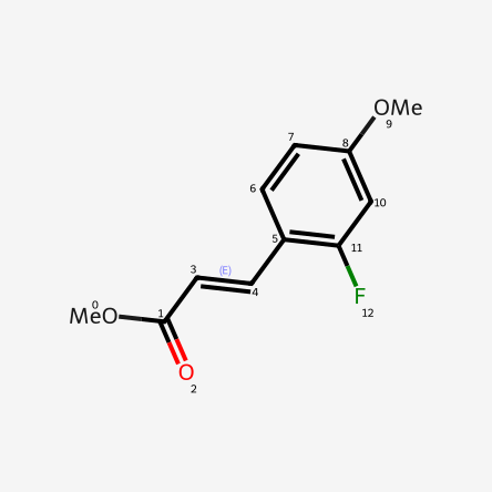 COC(=O)/C=C/c1ccc(OC)cc1F